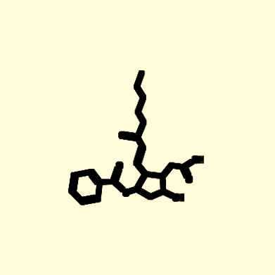 CCCCCC(=O)C=CC1C(OC(=O)c2ccccc2)CC(O)C1CC(=O)O